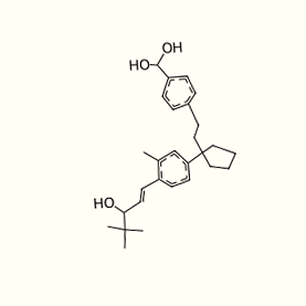 Cc1cc(C2(CCc3ccc(C(O)O)cc3)CCCC2)ccc1C=CC(O)C(C)(C)C